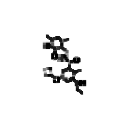 CCNc1cc(OC2CCC2)cc(C(=O)NCc2c(C)cc(C)[nH]c2=O)c1C